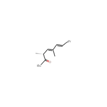 CCC(C)C(=O)[C@H](C)/C=C(C)/C=C/C(C)C